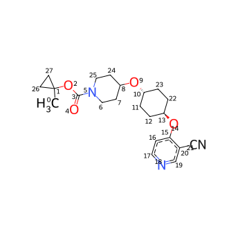 CC1(OC(=O)N2CCC(O[C@H]3CC[C@H](Oc4ccncc4C#N)CC3)CC2)CC1